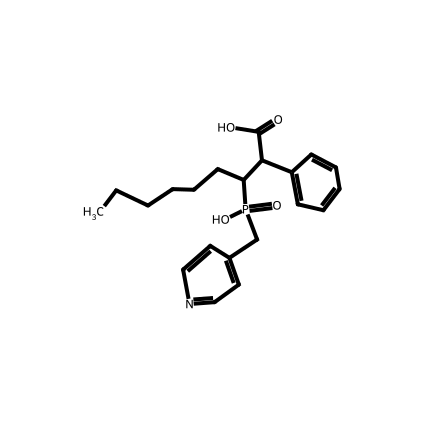 CCCCCCC(C(C(=O)O)c1ccccc1)P(=O)(O)Cc1ccncc1